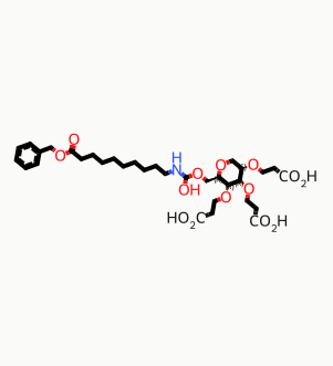 O=C(O)CCO[C@H]1[C@H](OCCC(=O)O)[C@@H](COC(O)NCCCCCCCCCC(=O)OCc2ccccc2)OC[C@@H]1OCCC(=O)O